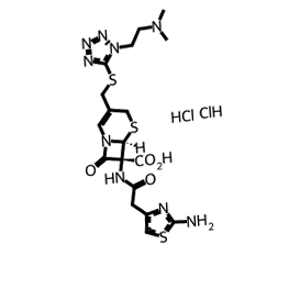 CN(C)CCn1nnnc1SCC1=CN2C(=O)[C@](NC(=O)Cc3csc(N)n3)(C(=O)O)[C@@H]2SC1.Cl.Cl